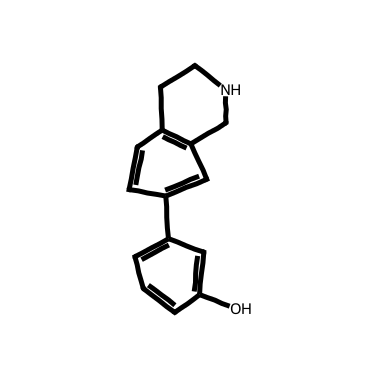 Oc1cccc(-c2ccc3c(c2)CNCC3)c1